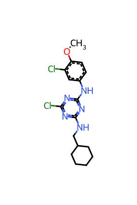 COc1ccc(Nc2nc(Cl)nc(NCC3CCCCC3)n2)cc1Cl